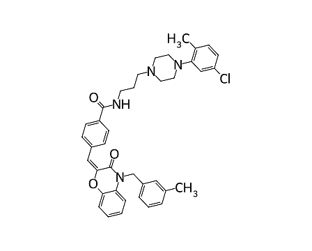 Cc1cccc(CN2C(=O)C(=Cc3ccc(C(=O)NCCCN4CCN(c5cc(Cl)ccc5C)CC4)cc3)Oc3ccccc32)c1